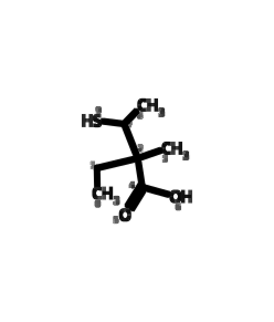 CCC(C)(C(=O)O)C(C)S